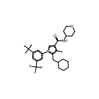 Cc1c(C(=O)NC2CCOCC2)cn(-c2cc(C(C)(C)C)cc(C(F)(F)F)c2)c1CC1CCCCC1